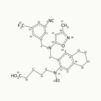 [C-]#[N+]c1cc(CN(Cc2cc3c(cc2N(CC)CCCCC(=O)O)CCCC3)c2cc(C)no2)cc(C(F)(F)F)c1